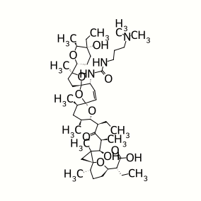 CC[C@@H](C(=O)[C@@H](C)[C@@H](O)C1(C)C[C@]12O[C@@H]([C@@H](CC)C(=O)O)CC[C@@H]2C)[C@H]1O[C@]2(C=C[C@@H](NC(=O)NCCCN(C)C)[C@]3(CC[C@@](C)([C@H]4CC[C@](O)(CC)[C@H](C)O4)O3)O2)[C@H](C)C[C@@H]1C